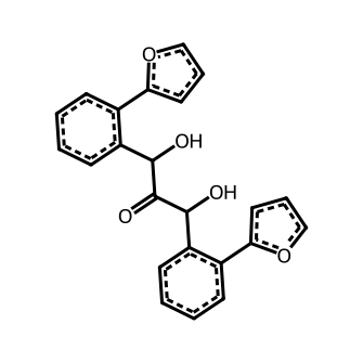 O=C(C(O)c1ccccc1-c1ccco1)C(O)c1ccccc1-c1ccco1